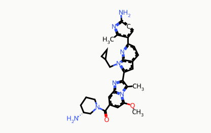 COc1cc(C(=O)N2CCC[C@@H](N)C2)cc2nc(-c3cc4ccc(-c5ccc(N)nc5C)nc4n3CC3CC3)c(C)n12